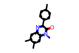 Cc1ccc(-c2nc3cc(C)c(C)cc3n(C)c2=O)cc1